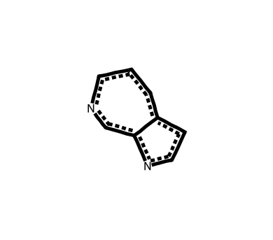 c1cncc2nccc-2c1